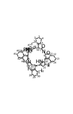 Cc1cccc2oc3nc4oc5cccc(F)c5c4c4ccc([nH]4)c(-c4c(F)cccc4I)c4nc(c(-c5c(P)cccc5I)c5ccc([nH]5)c3c12)C=C4